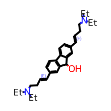 CCN(CC)CC/C=C/c1ccc2c(c1)C(O)c1cc(/C=C/CCN(CC)CC)ccc1-2